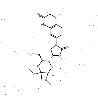 CO[C@]1(C)O[C@@H](CN)[C@H](C2CN(c3ccc4c(c3)NC(=O)CS4)C(=O)O2)O[C@@]1(C)OC